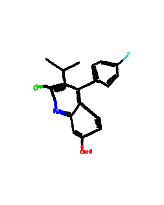 CC(C)c1c(Cl)nc2cc(O)ccc2c1-c1ccc(F)cc1